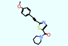 COc1ccc(C#Cc2ncc(C(=O)N3CCCCC3)s2)cc1